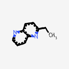 CCc1ccc2ncccc2n1